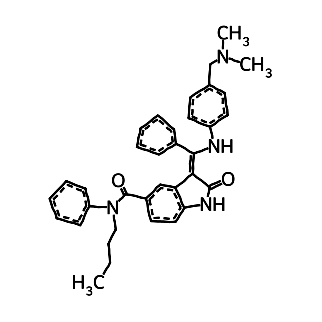 CCCCN(C(=O)c1ccc2c(c1)/C(=C(/Nc1ccc(CN(C)C)cc1)c1ccccc1)C(=O)N2)c1ccccc1